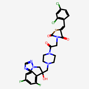 O=C(CN1C(=O)SC(=Cc2ccc(Cl)cc2Cl)C1=O)N1CCN(CC(O)(Cn2cncn2)c2ccc(F)cc2F)CC1